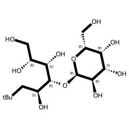 CC(C)(C)C[C@H](O)[C@@H](O[C@H]1O[C@H](CO)[C@H](O)[C@H](O)[C@H]1O)[C@@H](O)[C@H](O)CO